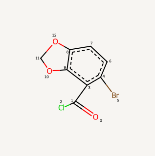 O=C(Cl)c1c(Br)ccc2c1OCO2